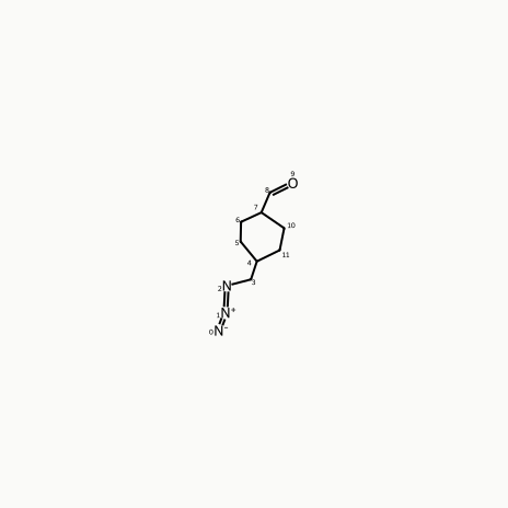 [N-]=[N+]=NCC1CCC(C=O)CC1